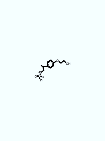 CC(CNS(=O)(=O)C(C)C)c1ccc(OCCO)cc1